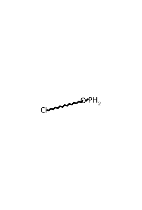 PCCOCCCCCCCCCCCCCCCCl